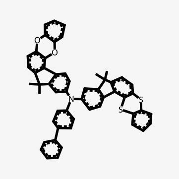 CC1(C)c2cc(N(c3ccc(-c4ccccc4)cc3)c3ccc4c(c3)C(C)(C)c3ccc5c(c3-4)Sc3ccccc3S5)ccc2-c2c1ccc1c2Oc2ccccc2O1